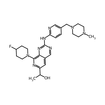 CC(O)c1cc2cnc(Nc3ccc(CN4CCN(C)CC4)cn3)nc2c(N2CCC(F)CC2)n1